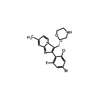 Cc1ccn2c(C[C@H]3CNCCO3)c(-c3c(F)cc(Br)cc3Cl)nc2c1